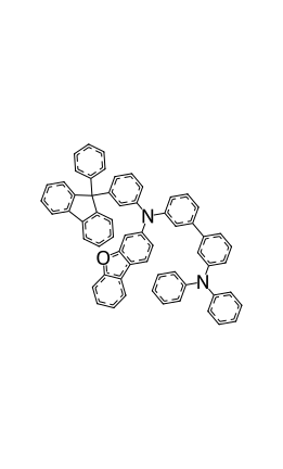 c1ccc(N(c2ccccc2)c2cccc(-c3cccc(N(c4cccc(C5(c6ccccc6)c6ccccc6-c6ccccc65)c4)c4ccc5c(c4)oc4ccccc45)c3)c2)cc1